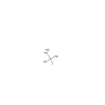 CC(O)(O)O.Cl